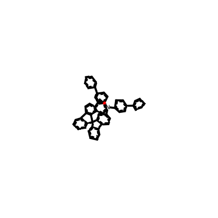 c1ccc(-c2ccc(N(c3ccc(-c4ccccc4)cc3)c3ccc4c(c3)C3(c5ccccc5-4)c4ccccc4-c4ccc5ccccc5c43)cc2)cc1